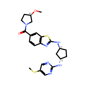 CO[C@@H]1CCN(C(=O)c2ccc3nc(N[C@H]4CC[C@H](Nc5ncc(SC)cn5)C4)sc3c2)C1